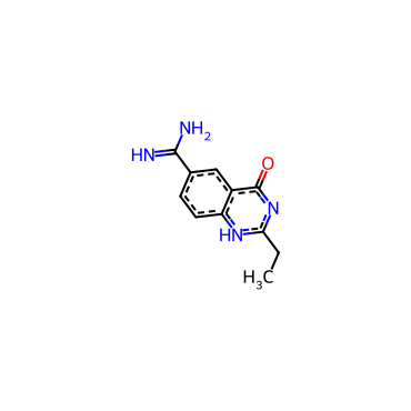 CCc1nc(=O)c2cc(C(=N)N)ccc2[nH]1